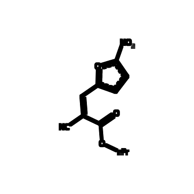 CCCOC(=O)/C(C#N)=C\c1ccc([N+](=O)[O-])o1